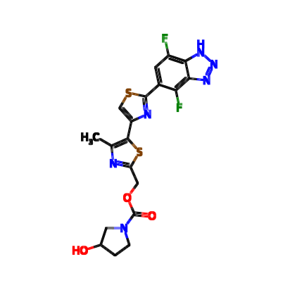 Cc1nc(COC(=O)N2CCC(O)C2)sc1-c1csc(-c2cc(F)c3[nH]nnc3c2F)n1